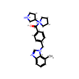 Cc1cccc2ncn(Cc3ccc(C(=O)[N+]4(C5CCNC5)CCCC4)cc3)c12